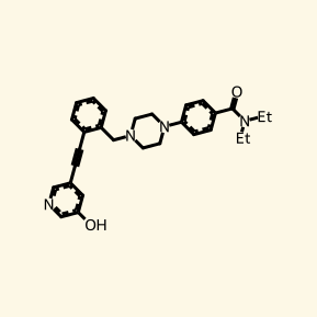 CCN(CC)C(=O)c1ccc(N2CCN(Cc3ccccc3C#Cc3cncc(O)c3)CC2)cc1